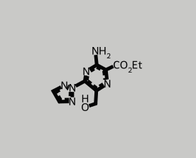 CCOC(=O)c1nc(CO)c(-n2nccn2)nc1N